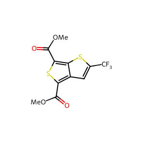 COC(=O)c1sc(C(=O)OC)c2sc(C(F)(F)F)cc12